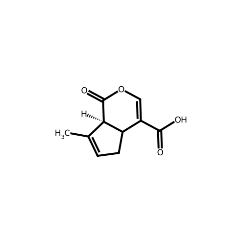 CC1=CCC2C(C(=O)O)=COC(=O)[C@H]12